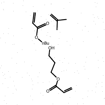 C=C(C)C.C=CC(=O)OCCCC.C=CC(=O)OCCCO